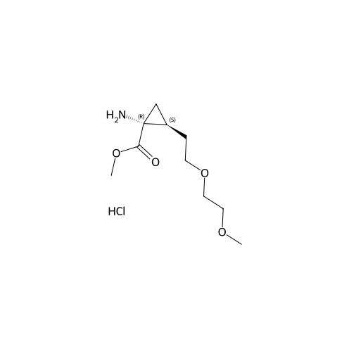 COCCOCC[C@@H]1C[C@]1(N)C(=O)OC.Cl